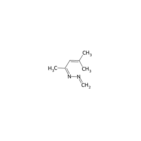 C=N/N=C(/C)C=C(C)C